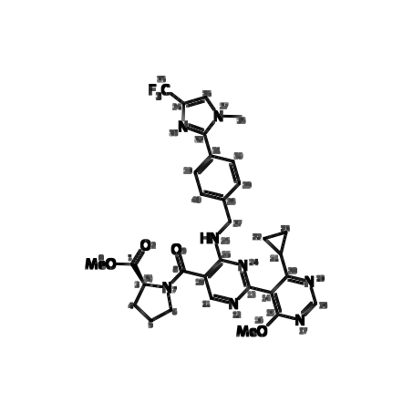 COC(=O)[C@@H]1CCCN1C(=O)c1cnc(-c2c(OC)ncnc2C2CC2)nc1NCc1ccc(-c2nc(C(F)(F)F)cn2C)cc1